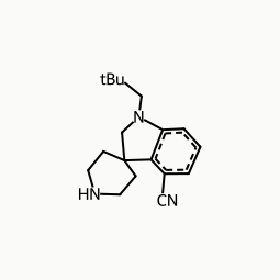 CC(C)(C)CN1CC2(CCNCC2)c2c(C#N)cccc21